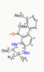 COC(=O)c1c(-c2cccc(OC)c2)ccc2c1NC(C=O)C(C)(C)N2